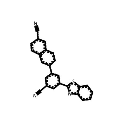 N#Cc1cc(-c2ccc3cc(C#N)ccc3c2)cc(-c2nc3ccccc3s2)c1